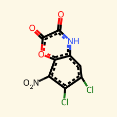 O=c1[nH]c2cc(Cl)c(Cl)c([N+](=O)[O-])c2oc1=O